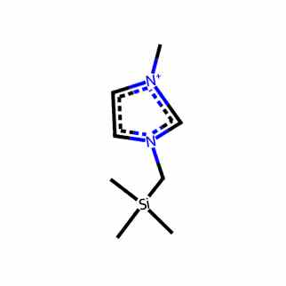 C[n+]1ccn(C[Si](C)(C)C)c1